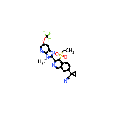 CCS(=O)(=O)c1c(-c2nc3cc(OC(F)(F)F)cnc3n2C)ncc2cc(C3(C#N)CC3)ccc12